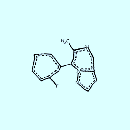 Cc1ncc2ccnn2c1-c1ccccc1F